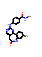 CC(C)NC(=O)c1ccc(Nc2ncc3c(n2)-c2ccc(Cl)cc2NC(=O)C3)cc1